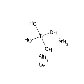 [AlH3].[La].[OH][Ti]([OH])([OH])[OH].[SrH2]